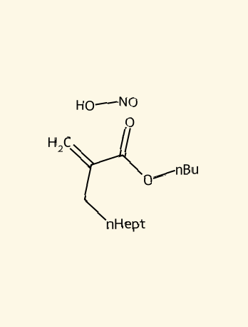 C=C(CCCCCCCC)C(=O)OCCCC.O=NO